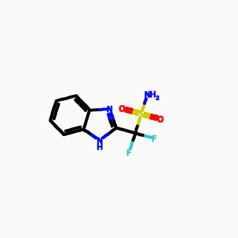 NS(=O)(=O)C(F)(F)c1nc2ccccc2[nH]1